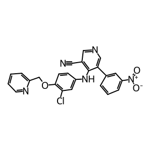 N#Cc1cncc(-c2cccc([N+](=O)[O-])c2)c1Nc1ccc(OCc2ccccn2)c(Cl)c1